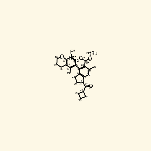 Cc1cc2c(c(-c3cc(F)c4c(c3C)CCCO4)c1[C@H](OC(C)(C)C)C(=O)O)CCN2C(=O)C1CCC1